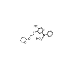 N#Cc1cnc(N(C(=O)O)c2ccccc2)cc1OCCOC1CCCCO1